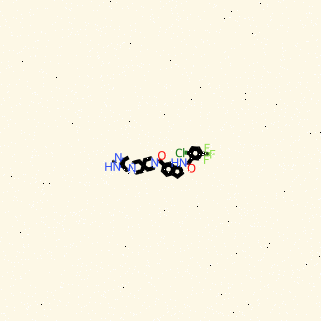 Cc1nc[nH]c1CN1CCC2(CC1)CCN(C(=O)c1ccc3c(c1)C(NC(=O)c1cc(C(F)(F)F)ccc1Cl)CC3)CC2